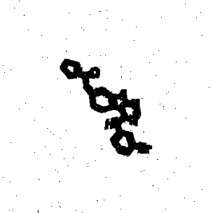 O=C(CC1CCc2c(sc3ncnc(Nc4cccc(Br)c4)c23)C1)N1CCCC1